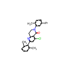 Cc1ccc(C(C)C)cc1N1CCc2nc(-c3c(C)cccc3C)cc(Cl)c2C1=O